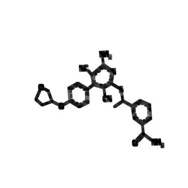 CC(Sc1nc(N)c(C#N)c(-c2ccc(OC3CCOC3)cc2)c1C#N)c1cccc(C(N)=O)c1